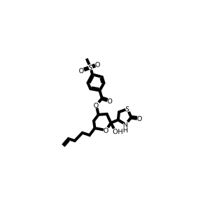 C=CCCCC1CC(OC(=O)c2ccc(S(C)(=O)=O)cc2)CC(O)(C2CSC(=O)N2)O1